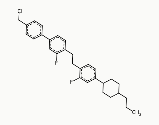 CCCC1CCC(c2ccc(CCc3ccc(-c4ccc(CCl)cc4)cc3F)c(F)c2)CC1